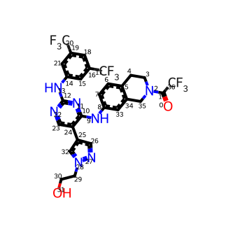 O=C(N1CCc2ccc(Nc3nc(Nc4cc(C(F)(F)F)cc(C(F)(F)F)c4)ncc3-c3cnn(CCO)c3)cc2C1)C(F)(F)F